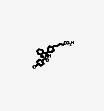 O=C(O)CCCCc1ccc(C(NS(=O)(=O)c2ccc(Cl)cc2)C2CCCCC2)cc1